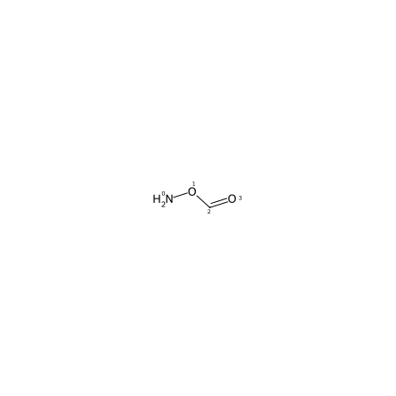 NOC=O